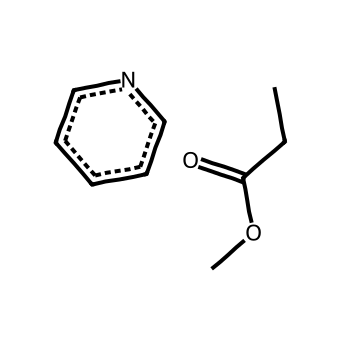 CCC(=O)OC.c1ccncc1